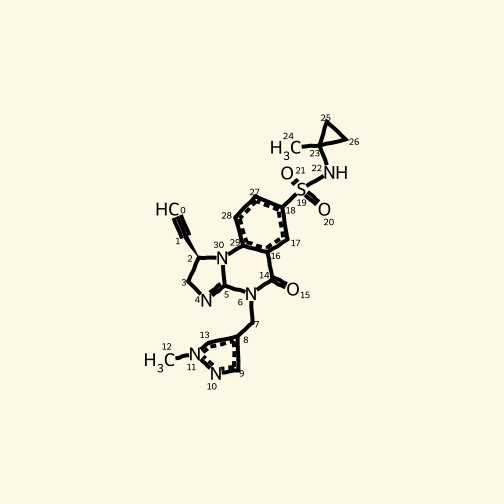 C#C[C@@H]1CN=C2N(Cc3cnn(C)c3)C(=O)c3cc(S(=O)(=O)NC4(C)CC4)ccc3N21